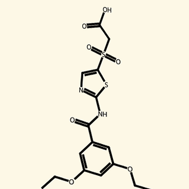 CCOc1cc(OCC)cc(C(=O)Nc2ncc(S(=O)(=O)CC(=O)O)s2)c1